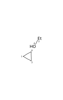 C1CC1.CCO